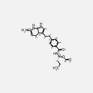 CCC[C@H](NC(=O)c1ccc(CCC2=CNC3NC(N)=NCC23)cc1)OC=O